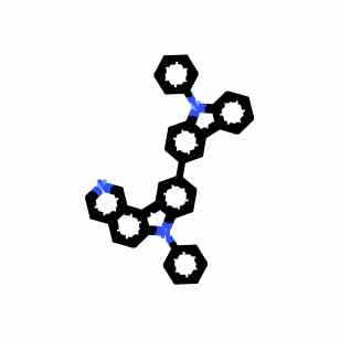 c1ccc(-n2c3ccccc3c3cc(-c4ccc5c(c4)c4c6cnccc6ccc4n5-c4ccccc4)ccc32)cc1